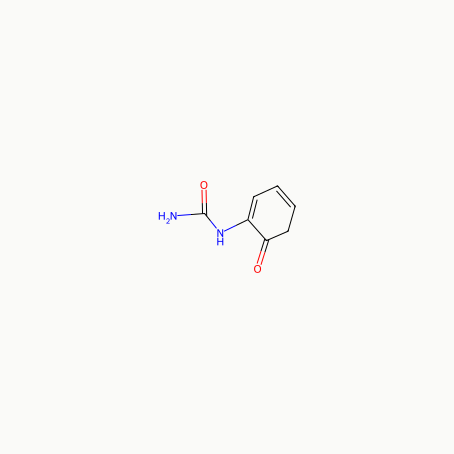 NC(=O)NC1=CC=CCC1=O